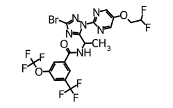 CC(NC(=O)c1cc(OC(F)(F)F)cc(C(F)(F)F)c1)c1nc(Br)nn1-c1ncc(OCC(F)F)cn1